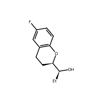 CC[C@H](O)[C@H]1CCc2cc(F)ccc2O1